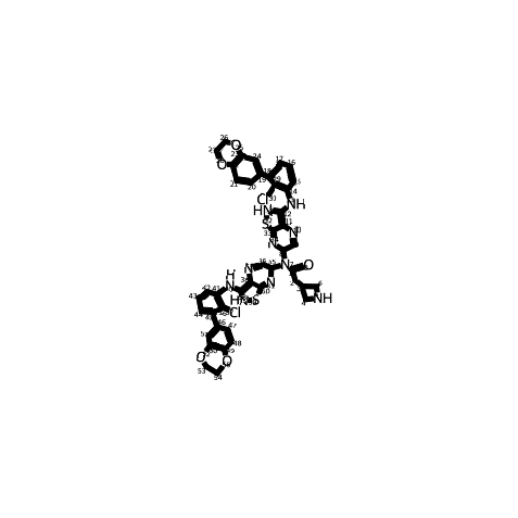 O=C(CC1CNC1)N(C1C=NC2=C(Nc3cccc(-c4ccc5c(c4)OCCO5)c3Cl)NSC2=N1)C1C=NC2=C(Nc3cccc(-c4ccc5c(c4)OCCO5)c3Cl)NSC2=N1